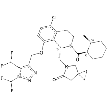 C[C@H]1CCCC[C@H]1C(=O)N1CCc2c(Cl)ccc(OCc3nnn(C(F)F)c3C(F)F)c2[C@H]1CN1CC2(CC2)CC1=O